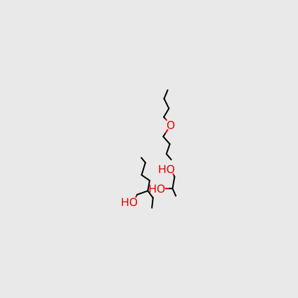 CC(O)CO.CCCCC(CC)CO.CCCCOCCCC